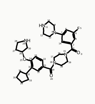 O=C(c1cc(F)cc(N2CCNCC2)c1)N1CCN(C(=O)c2ccc(O[C@H]3CCNC3)c(C3CCCC3)c2)CC1